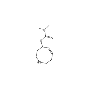 CN(C)C(=S)SC1C=CCCNCC1